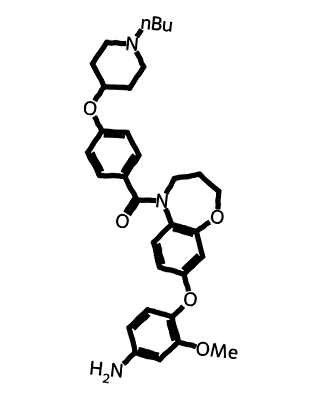 CCCCN1CCC(Oc2ccc(C(=O)N3CCCOc4cc(Oc5ccc(N)cc5OC)ccc43)cc2)CC1